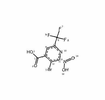 O=C(O)c1cc(C(F)(F)F)ncc1Br.O=NO